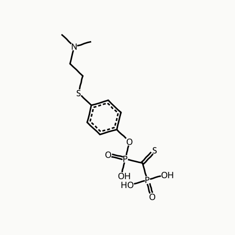 CN(C)CCSc1ccc(OP(=O)(O)C(=S)P(=O)(O)O)cc1